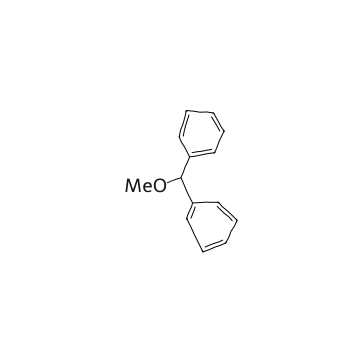 COC(c1ccccc1)c1ccccc1